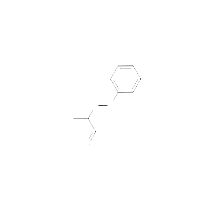 CC([C]=O)SSc1ccccc1